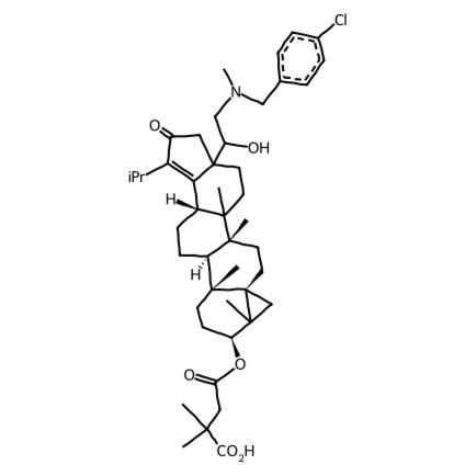 CC(C)C1=C2[C@H]3CC[C@H]4[C@@](C)(CC[C@@]56CC5(C)[C@@H](OC(=O)CC(C)(C)C(=O)O)CC[C@]46C)C3(C)CCC2(C(O)CN(C)Cc2ccc(Cl)cc2)CC1=O